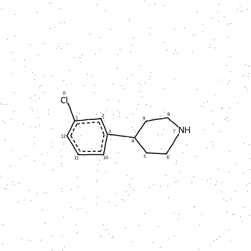 Clc1[c]c(C2CCNCC2)ccc1